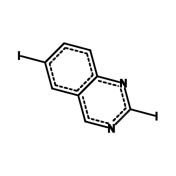 Ic1ccc2nc(I)ncc2c1